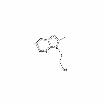 Cc1cc2c[c]cnc2n1CCO